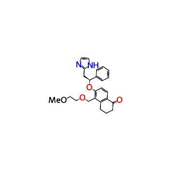 COCCOCc1c(O[C@@H](Cc2ncc[nH]2)c2ccccc2)ccc2c1CCCC2=O